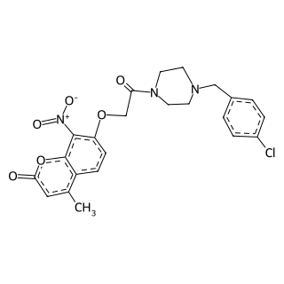 Cc1cc(=O)oc2c([N+](=O)[O-])c(OCC(=O)N3CCN(Cc4ccc(Cl)cc4)CC3)ccc12